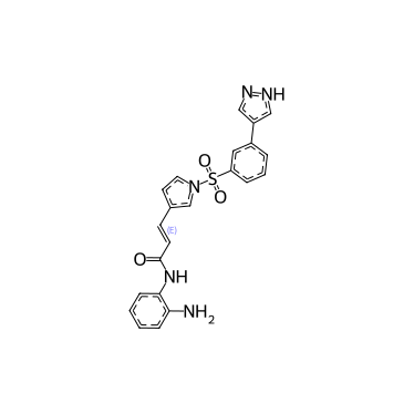 Nc1ccccc1NC(=O)/C=C/c1ccn(S(=O)(=O)c2cccc(-c3cn[nH]c3)c2)c1